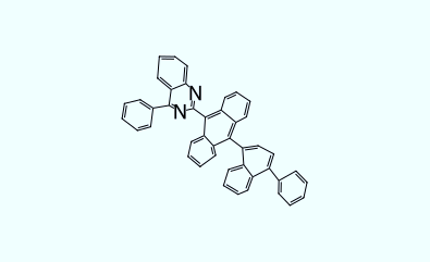 c1ccc(-c2nc(-c3c4ccccc4c(-c4ccc(-c5ccccc5)c5ccccc45)c4ccccc34)nc3ccccc23)cc1